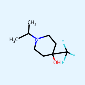 CC(C)N1CCC(O)(C(F)(F)F)CC1